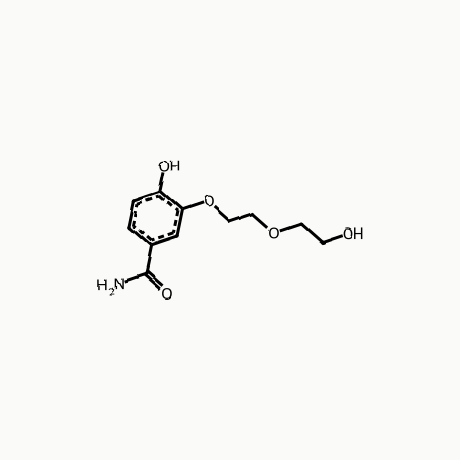 NC(=O)c1ccc(O)c(OCCOCCO)c1